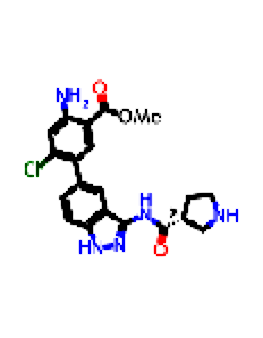 COC(=O)c1cc(-c2ccc3[nH]nc(NC(=O)[C@@H]4CCNC4)c3c2)c(Cl)cc1N